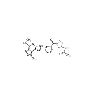 CNc1nc2[nH]c(-c3cccc(C(=O)N4CCC(NC(C)=O)C4)c3)cc2c2c1ncn2C